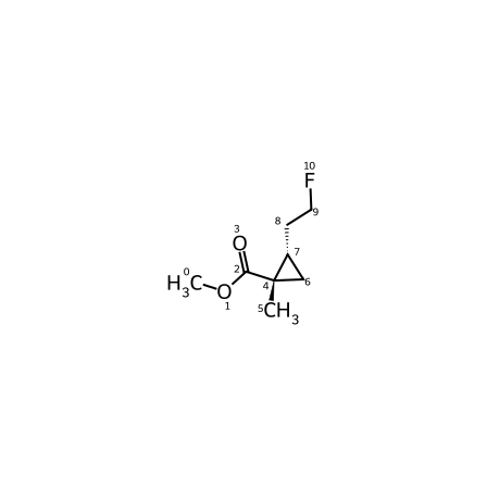 COC(=O)[C@@]1(C)C[C@H]1CCF